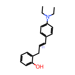 CCN(CC)c1ccc(/C=C/Cc2ccccc2O)cc1